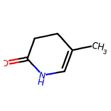 CC1=CNC(=O)CC1